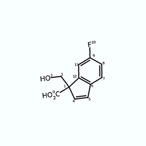 O=C(O)C1(CO)C=Cc2ccc(F)cc21